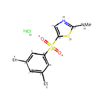 CCc1cc(CC)cc(S(=O)(=O)c2cnc(NC)s2)c1.Cl